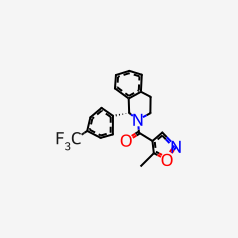 Cc1oncc1C(=O)N1CCc2ccccc2[C@H]1c1ccc(C(F)(F)F)cc1